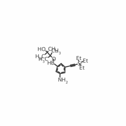 CC[Si](C#Cc1cc(N)cc(BOC(C)(C)C(C)(C)O)c1)(CC)CC